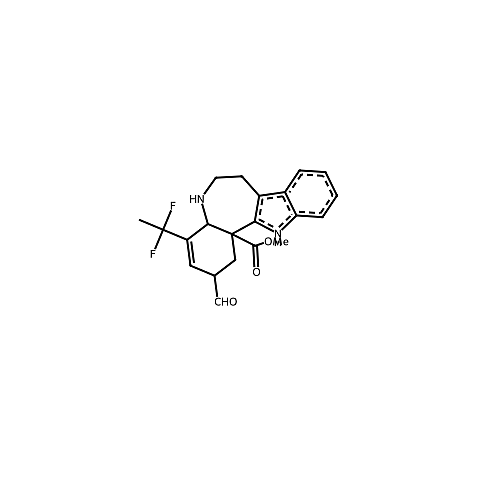 COC(=O)C12CC(C=O)C=C(C(C)(F)F)C1NCCc1c2[nH]c2ccccc12